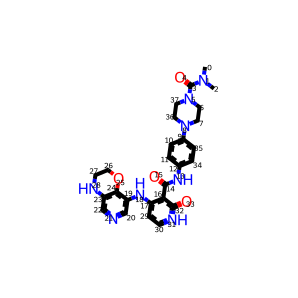 CN(C)C(=O)N1CCN(c2ccc(NC(=O)c3c(Nc4cncc5c4OCCN5)cc[nH]c3=O)cc2)CC1